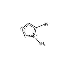 CC(C)c1coc[n+]1N